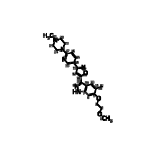 COCCOc1cc2[nH]nc(-c3cc(-c4ccc(N5CCN(C)CC5)nc4)no3)c2cc1F